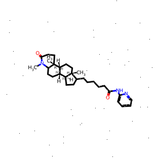 CN1C(=O)CC[C@@]2(C)C1CC[C@@H]1[C@H]2CC[C@]2(C)C(CCCCCC(=O)Nc3ccccn3)CC[C@@H]12